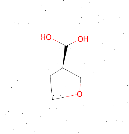 OC(O)[C@@H]1CCOC1